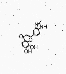 Cc1nc2cc(-c3cc(=O)c4ccc(O)c(O)c4o3)ccc2[nH]1